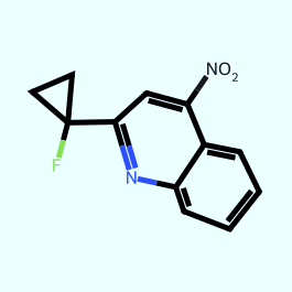 O=[N+]([O-])c1cc(C2(F)CC2)nc2ccccc12